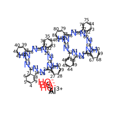 [Al+3].[OH-].[OH-].[OH-].c1ccc2c(c1)-c1nc-2nc2[nH]c(nc3nc(nc4[nH]c(n1)c1ccccc41)-c1ccccc1-3)c1ccccc21.c1ccc2c(c1)-c1nc-2nc2[nH]c(nc3nc(nc4[nH]c(n1)c1ccccc41)-c1ccccc1-3)c1ccccc21